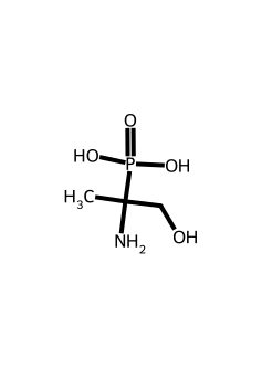 CC(N)(CO)P(=O)(O)O